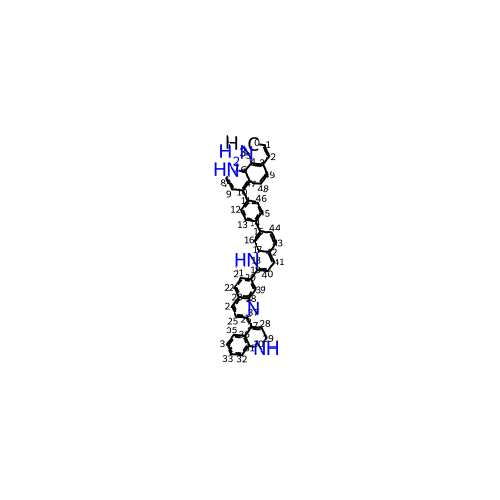 C/C=C\C1=C(N)C2NC=CC(c3ccc(C4=CC5NC(c6ccc7ccc(C8=CCNc9ccccc98)nc7c6)=CC=C5C=C4)cc3)=C2C=C1